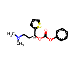 CN(C)CC[C@H](OC(=O)Oc1ccccc1)c1cccs1